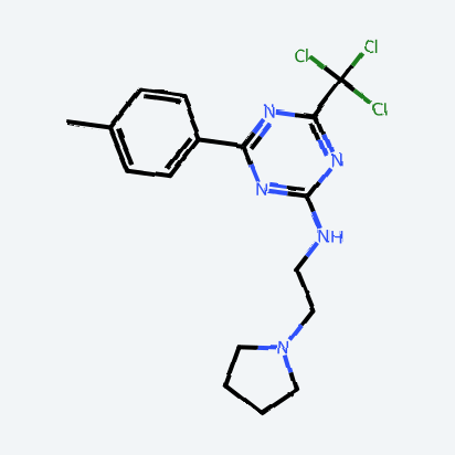 Cc1ccc(-c2nc(NCCN3CCCC3)nc(C(Cl)(Cl)Cl)n2)cc1